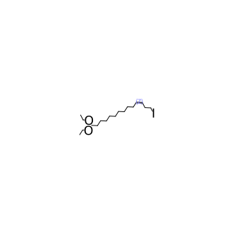 CCOC(CCCCCCCCC/C=C\CCI)OCC